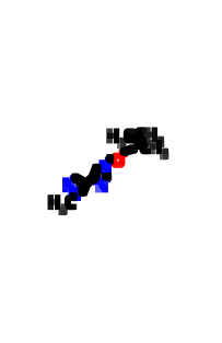 Cn1cc(-c2cn(COCC[Si](C)(C)C)cn2)cn1